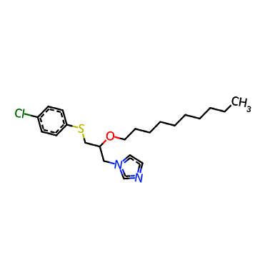 CCCCCCCCCCOC(CSc1ccc(Cl)cc1)Cn1ccnc1